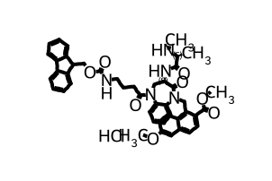 CN[C@@H](C)C(=O)N[C@H]1CN(C(=O)CCCNC(=O)OCC2c3ccccc3-c3ccccc32)c2ccccc2N(Cc2c(C(=O)OC)ccc3cc(OC)ccc23)C1=O.Cl